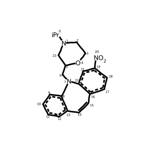 CC(C)N1CCOC(CN2c3ccccc3C=Cc3ccc([N+](=O)[O-])cc32)C1